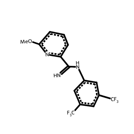 COc1cccc(C(=N)Nc2cc(C(F)(F)F)cc(C(F)(F)F)c2)n1